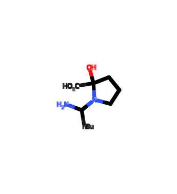 CCCCC(N)N1CCCC1(O)C(=O)O